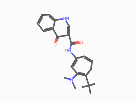 CN(C)C1=C(C(C)(C)C)CC=CC(NC(=O)c2c[nH]c3ccccc3c2=O)=C1